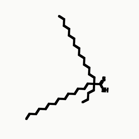 CCCCCCCCCCCCCCC(CCCC)(CCCCCCCCCCCCCC)C(=S)S